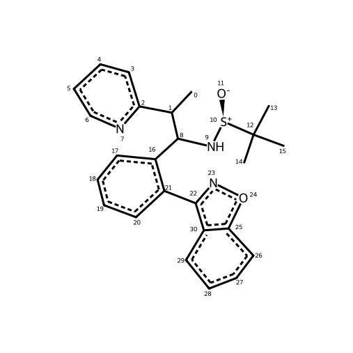 CC(c1ccccn1)C(N[S@@+]([O-])C(C)(C)C)c1ccccc1-c1noc2ccccc12